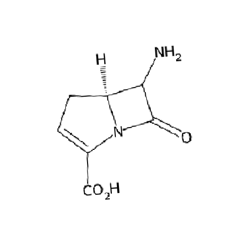 NC1C(=O)N2C(C(=O)O)=CC[C@@H]12